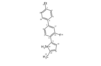 CCc1ccc(-c2ccc(C3=CC=C(C)[SeH2]3)c(F)c2)cc1